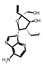 C=C[C@]1(CO)O[C@@H](n2cnc3c(N)ccnc32)[C@@H](CF)[C@@H]1O